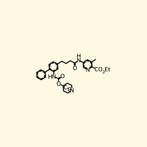 CCOC(=O)c1ncc(NC(=O)CCCc2ccc(-c3ccccc3)c(NC(=O)OC34CCN(CC3)CC4)c2)cc1C